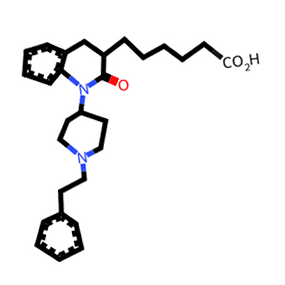 O=C(O)CCCCCC1Cc2ccccc2N(C2CCN(CCc3ccccc3)CC2)C1=O